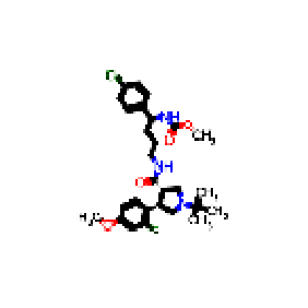 COC(=O)NC(CCCNC(=O)[C@@H]1CN(C(C)(C)C)C[C@H]1c1ccc(OC)cc1F)c1ccc(Cl)cc1